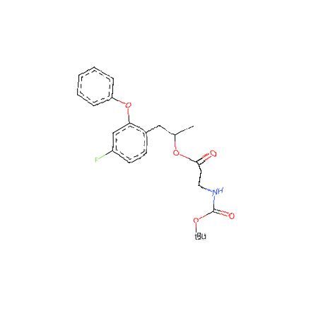 CC(Cc1ccc(F)cc1Oc1ccccc1)OC(=O)CNC(=O)OC(C)(C)C